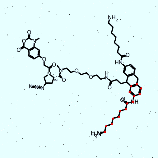 CN(CCOCCOCCNC(=O)CCC12c3cc(NC(=O)CCCCCCCN)ccc3C(c3ccc(NC(=O)CCCCCCCN)cc31)c1ccc(NC(=O)CCCCCCCN)cc12)C(=O)[C@@H]1CC(N=[N+]=[N-])CN1C(=O)COc1ccc2c(=O)oc(=O)n(C)c2c1